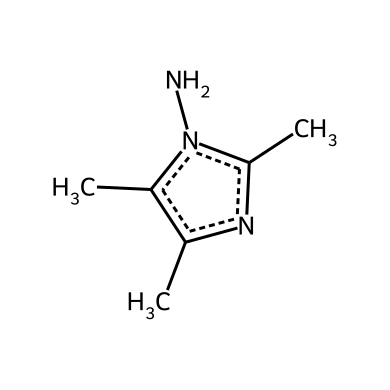 Cc1nc(C)n(N)c1C